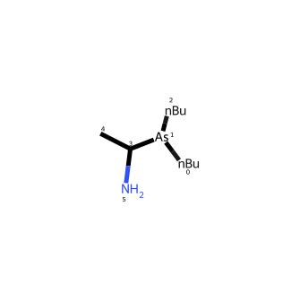 CCCC[As](CCCC)C(C)N